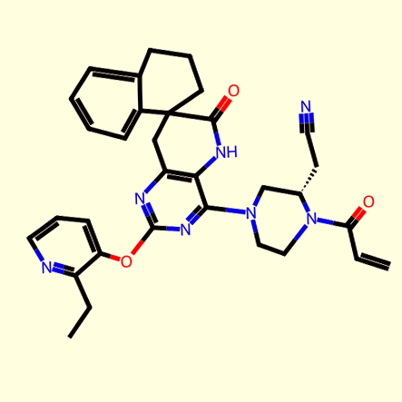 C=CC(=O)N1CCN(c2nc(Oc3cccnc3CC)nc3c2NC(=O)C2(CCCc4ccccc42)C3)C[C@@H]1CC#N